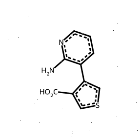 Nc1ncccc1-c1cscc1C(=O)O